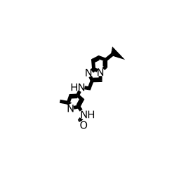 Cc1cc(NCc2cn3cc(C4CC4)ccc3n2)cc(NC=O)n1